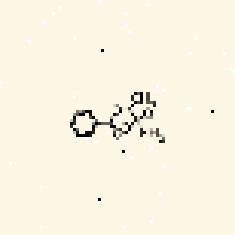 CC(OC(=O)c1ccccc1)S(N)(=O)=O